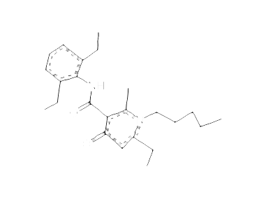 CCCCCn1c(CC)cc(=O)c(C(=O)Nc2c(CC)cccc2CC)c1C